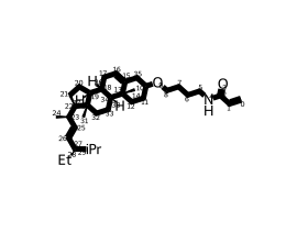 C=CC(=O)NCCCCOC1CC[C@@]2(C)C(=CC[C@H]3[C@@H]4CC[C@H]([C@H](C)C=C[C@@H](CC)C(C)C)[C@@]4(C)CC[C@@H]32)C1